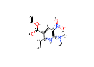 C=COC(=O)c1cc([N+](=O)[O-])c(N(C)C)nc1CC